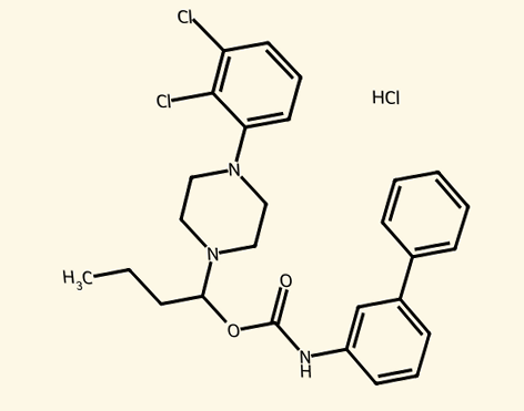 CCCC(OC(=O)Nc1cccc(-c2ccccc2)c1)N1CCN(c2cccc(Cl)c2Cl)CC1.Cl